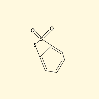 O=S1(=O)Sc2ccccc21